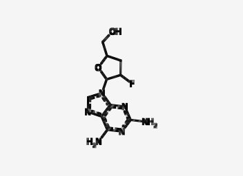 Nc1nc(N)c2ncn(C3OC(CO)CC3F)c2n1